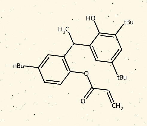 C=CC(=O)Oc1ccc(CCCC)cc1C(C)c1cc(C(C)(C)C)cc(C(C)(C)C)c1O